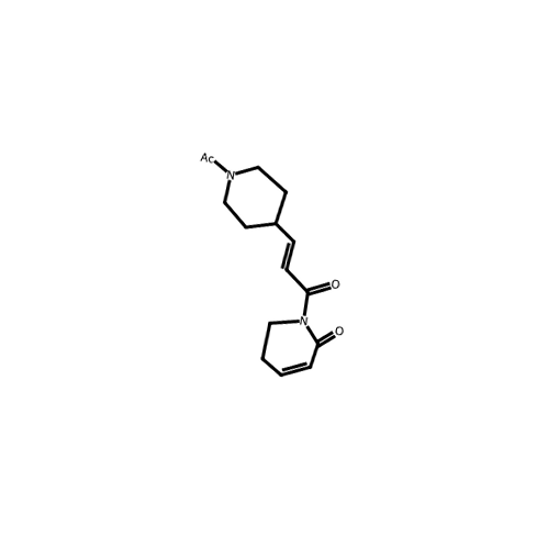 CC(=O)N1CCC(C=CC(=O)N2CCC=CC2=O)CC1